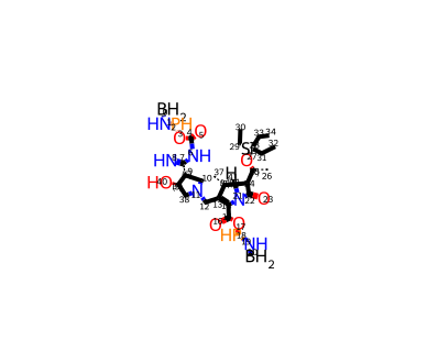 BNPOC(=O)NC(=N)[C@@H]1CN(CC2=C(C(=O)OPNB)N3C(=O)C([C@@H](C)O[Si](CC)(CC)CC)[C@H]3[C@H]2C)C[C@H]1O